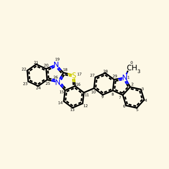 Cn1c2ccccc2c2cc(-c3cccc4c3sc3nc5ccccc5n34)ccc21